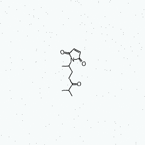 CC(C)C(=O)CCC(C)N1C(=O)C=CC1=O